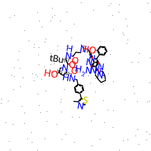 Cc1ncsc1-c1ccc(CNC(=O)[C@@H]2C[C@@H](O)CN2C(=O)[C@@H](NC(=O)CCN(C)CC#Cc2cnc(N3C4CCC3CN(c3cc(-c5ccccc5O)nnc3N)C4)nc2)C(C)(C)C)cc1